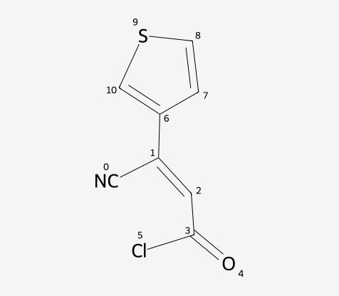 N#CC(=CC(=O)Cl)c1ccsc1